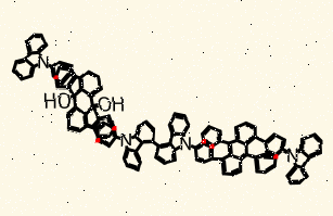 OC1(c2ccccc2)c2cccc(-c3ccc(-n4c5ccccc5c5c(-c6cccc7c6c6ccccc6n7-c6ccc(-c7cccc8c(-c9ccccc9)c9c(-c%10ccc(-n%11c%12ccccc%12c%12ccccc%12%11)cc%10)cccc9c(-c9ccccc9)c78)cc6)cccc54)cc3)c2C(O)(c2ccccc2)c2cccc(-c3ccc(-n4c5ccccc5c5ccccc54)cc3)c21